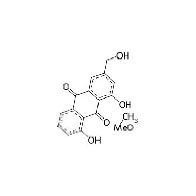 COC.O=C1c2cccc(O)c2C(=O)c2c(O)cc(CO)cc21